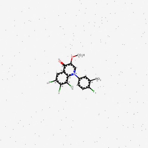 O=C(O)Oc1cn(-c2ccc(F)c([N+](=O)[O-])c2)c2c(Cl)c(F)c(F)cc2c1=O